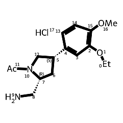 CCOc1cc([C@@H]2C[C@H](CN)N(C(C)=O)C2)ccc1OC.Cl